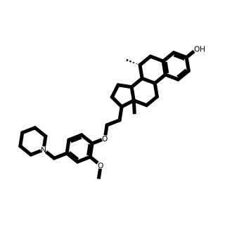 COc1cc(CN2CCCCC2)ccc1OCCC1CCC2C3C(CCC12C)c1ccc(O)cc1C[C@H]3C